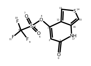 O=c1cc(OS(=O)(=O)C(F)(F)F)c2cscc2[nH]1